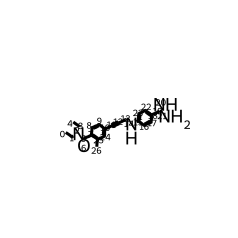 CCN(CC)C(=O)c1ccc(C#CCNc2ccc(C(=N)N)cc2)cc1C